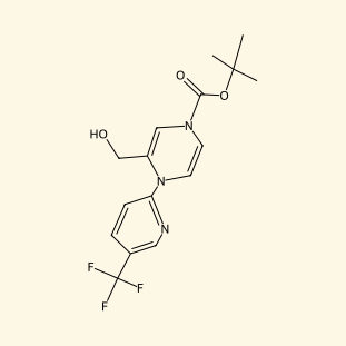 CC(C)(C)OC(=O)N1C=CN(c2ccc(C(F)(F)F)cn2)C(CO)=C1